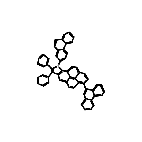 c1ccc(-c2c(-c3ccccc3)n(-c3ccc4c(ccc5ccccc54)c3)c3c2cc2ccc4c(-c5cc6ccccc6c6ccccc56)ccc5ccc3c2c54)cc1